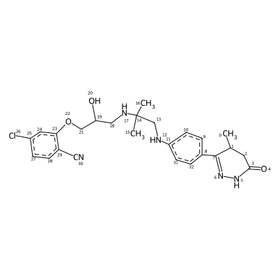 CC1CC(=O)NN=C1c1ccc(NCC(C)(C)NCC(O)COc2cc(Cl)ccc2C#N)cc1